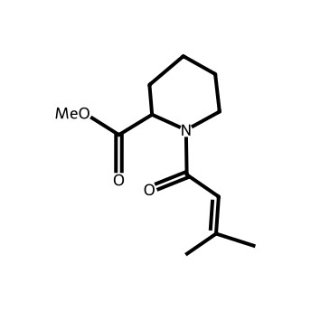 COC(=O)C1CCCCN1C(=O)C=C(C)C